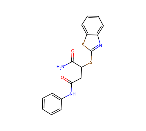 NC(=O)C(CC(=O)Nc1ccccc1)Sc1nc2ccccc2s1